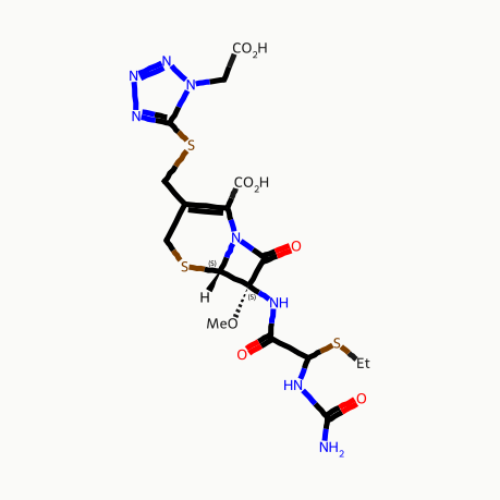 CCSC(NC(N)=O)C(=O)N[C@]1(OC)C(=O)N2C(C(=O)O)=C(CSc3nnnn3CC(=O)O)CS[C@H]21